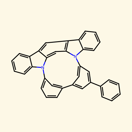 c1ccc(-c2cc3cc(c2)n2c4ccccc4c4cc5c6ccccc6n(c6cccc3c6)c5cc42)cc1